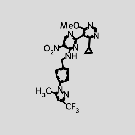 COc1ncnc(C2CC2)c1-c1ncc([N+](=O)[O-])c(NCc2ccc(-n3nc(C(F)(F)F)cc3C)cc2)n1